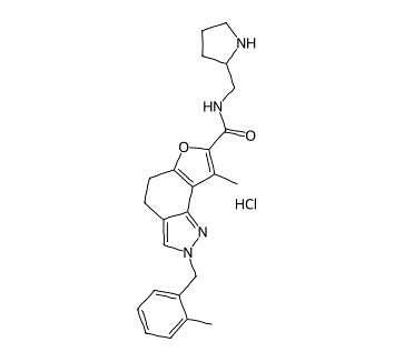 Cc1ccccc1Cn1cc2c(n1)-c1c(oc(C(=O)NCC3CCCN3)c1C)CC2.Cl